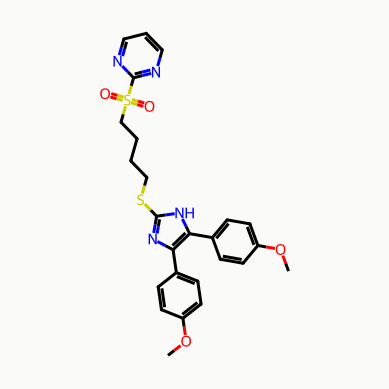 COc1ccc(-c2nc(SCCCCS(=O)(=O)c3ncccn3)[nH]c2-c2ccc(OC)cc2)cc1